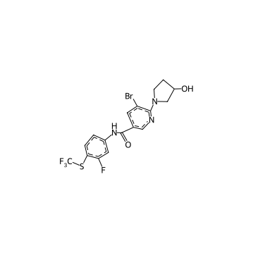 O=C(Nc1ccc(SC(F)(F)F)c(F)c1)c1cnc(N2CCC(O)C2)c(Br)c1